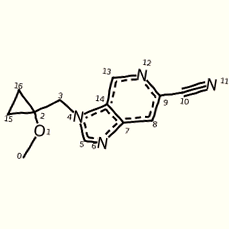 COC1(Cn2cnc3cc(C#N)ncc32)CC1